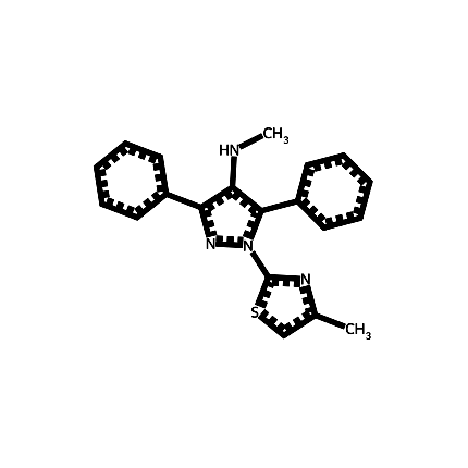 CNc1c(-c2ccccc2)nn(-c2nc(C)cs2)c1-c1ccccc1